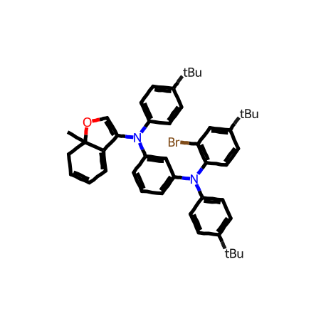 CC12CC=CC=C1C(N(c1ccc(C(C)(C)C)cc1)c1cccc(N(c3ccc(C(C)(C)C)cc3)c3ccc(C(C)(C)C)cc3Br)c1)=CO2